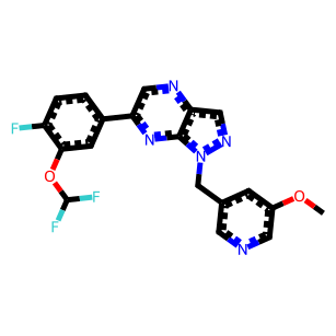 COc1cncc(Cn2ncc3ncc(-c4ccc(F)c(OC(F)F)c4)nc32)c1